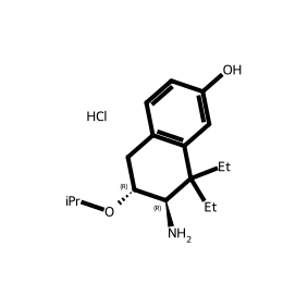 CCC1(CC)c2cc(O)ccc2C[C@@H](OC(C)C)[C@@H]1N.Cl